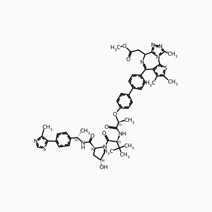 COC(=O)CC1N=C(c2ccc(-c3ccc(O[C@@H](C)C(=O)N[C@H](C(=O)N4C[C@H](O)C[C@H]4C(=O)N[C@@H](C)c4ccc(-c5scnc5C)cc4)C(C)(C)C)cc3)cc2)c2c(sc(C)c2C)-n2c(C)nnc21